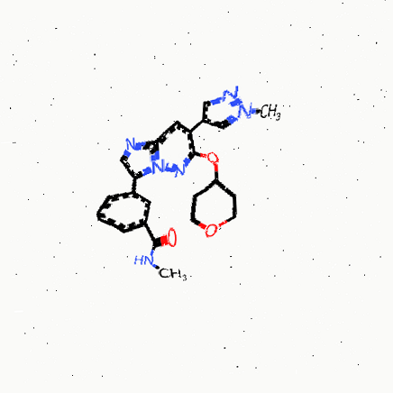 CNC(=O)c1cccc(-c2cnc3cc(-c4cnn(C)c4)c(OC4CCOCC4)nn23)c1